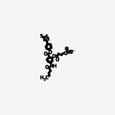 CCCCC(=O)Nc1ccc(C(=O)Oc2ccc(-c3cc(=S)ss3)cc2)c(OC(=O)CCCO[N+](=O)[O-])c1